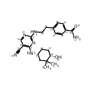 CC1(C)C[C@H](Nc2nc(NCCc3ccc(C(N)=O)cc3)ncc2C#N)CC[C@@H]1O